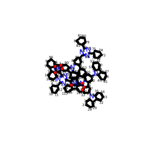 c1ccc(-c2nc(-c3ccccc3)nc(-c3ccc(-n4c5ccc(-n6c7ccccc7c7ccccc76)cc5c5cc(-n6c7ccccc7c7ccccc76)ccc54)c(-c4cccc(-c5cc(-c6nc(-c7ccccc7)nc(-c7ccccc7)n6)ccc5-n5c6ccc(-n7c8ccccc8c8ccccc87)cc6c6cc(-n7c8ccccc8c8ccccc87)ccc65)c4)c3)n2)cc1